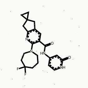 O=C(Nc1cc[nH]c(=O)c1)c1cc2c(nc1N1CCCC(F)(F)CC1)CC1(CC1)C2